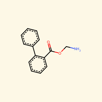 NCOC(=O)c1ccccc1-c1ccccc1